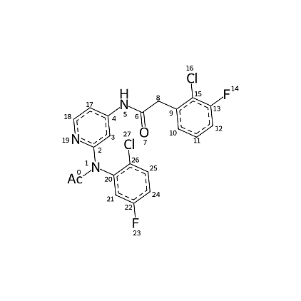 CC(=O)N(c1cc(NC(=O)Cc2cccc(F)c2Cl)ccn1)c1cc(F)ccc1Cl